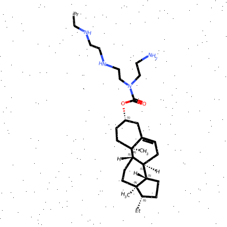 CC[C@H]1CC[C@H]2[C@@H]3CC=C4C[C@@H](OC(=O)N(CCN)CCNCCNCC(C)C)CC[C@]4(C)[C@H]3CC[C@]12C